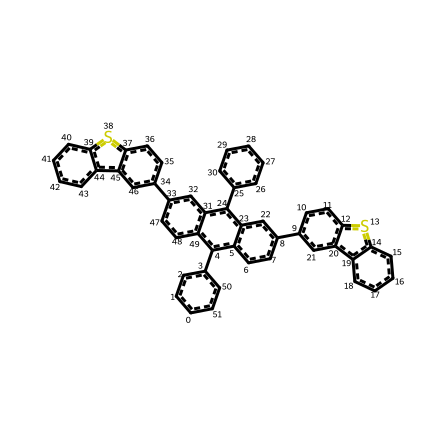 c1ccc(-c2c3ccc(-c4ccc5sc6ccccc6c5c4)cc3c(-c3ccccc3)c3cc(-c4ccc5sc6ccccc6c5c4)ccc23)cc1